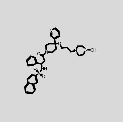 CN1CCN(CCCOC2(c3cccnc3)CCN(C(=O)CC(NS(=O)(=O)c3ccc4ccccc4c3)c3ccccc3)CC2)CC1